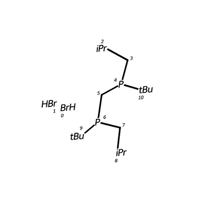 Br.Br.CC(C)CP(CP(CC(C)C)C(C)(C)C)C(C)(C)C